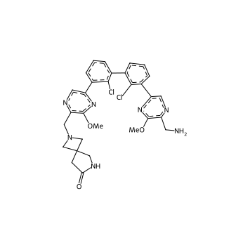 COc1nc(-c2cccc(-c3cccc(-c4cnc(CN5CC6(CNC(=O)C6)C5)c(OC)n4)c3Cl)c2Cl)cnc1CN